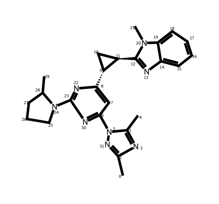 Cc1nc(C)n(-c2cc([C@@H]3C[C@H]3c3nc4ccccc4n3C)nc(N3CCCC3C)n2)n1